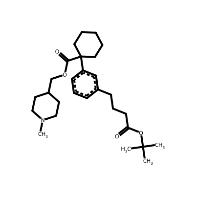 CN1CCC(COC(=O)C2(c3cccc(CCCC(=O)OC(C)(C)C)c3)CCCCC2)CC1